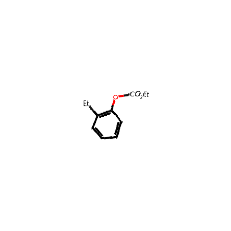 CCOC(=O)Oc1[c]cccc1CC